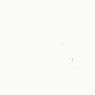 Cn1c(=O)n(C2CCC(=O)NC2=O)c2cccc(NC(C)(C)C)c21